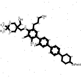 CCCCCC1CCC(c2ccc(-c3ccc(-c4cc(CCCO)c(OCC5(CO)COC(C)(C)OC5)c(I)c4CC)c(F)c3)cc2)CC1